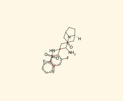 NC(Cc1cc(F)c(F)cc1F)C1CC2CC[C@@H](C1)N2C(=O)CCNS(=O)(=O)c1ccccc1